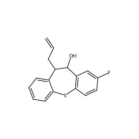 C=CCC1c2ccccc2Sc2ccc(F)cc2C1O